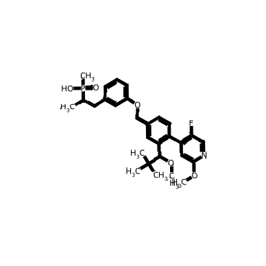 COc1cc(-c2ccc(COc3cccc(CC(C)P(C)(=O)O)c3)cc2C(OC)C(C)(C)C)c(F)cn1